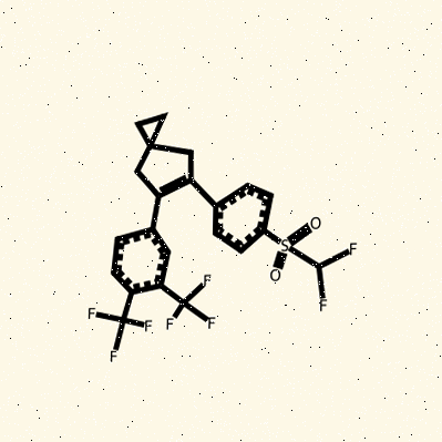 O=S(=O)(c1ccc(C2=C(c3ccc(C(F)(F)F)c(C(F)(F)F)c3)CC3(CC3)C2)cc1)C(F)F